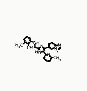 Cc1cccc(-c2[nH]c(CNc3cccc(C)c3C)nc2-c2ccc3ncnn3c2)n1